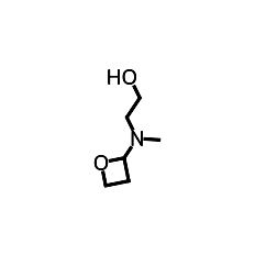 CN(CCO)C1CCO1